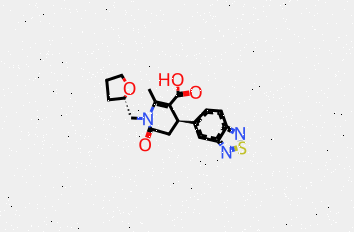 CC1=C(C(=O)O)[C@@H](c2ccc3nsnc3c2)CC(=O)N1C[C@@H]1CCCO1